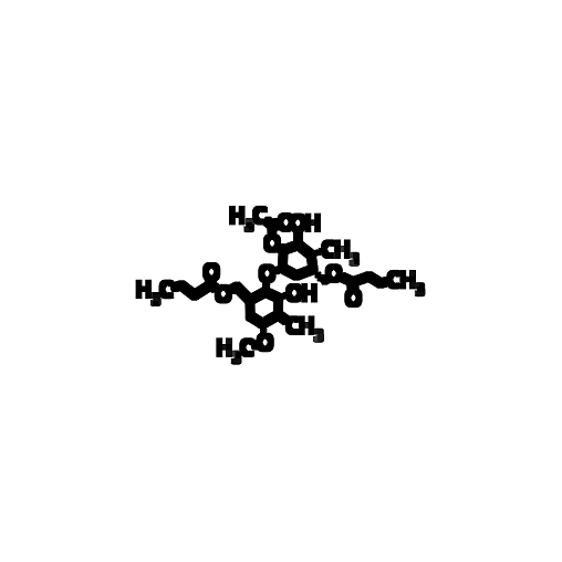 CCCC(=O)OCC1C[C@@H](OC)C(C)[C@@H](O)[C@@H]1O[C@@H]1C[C@@H](COC(=O)CCC)[C@@H](C)C(O)C1OC(C)=O